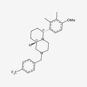 COc1ccc([C@H]2CCC[C@H]3CN(Cc4ccc(C(F)(F)F)cc4)CCN32)c(C)c1C